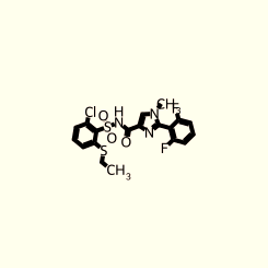 CCSc1cccc(Cl)c1S(=O)(=O)NC(=O)c1cn(C)c(-c2c(F)cccc2F)n1